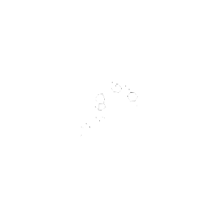 Cn1c(C(=O)N2CCN(C(=O)OC(C)(C)C)CC2)cc2cc(Oc3ccc(Nc4ccc(Cl)c(Cl)c4)cn3)ccc21